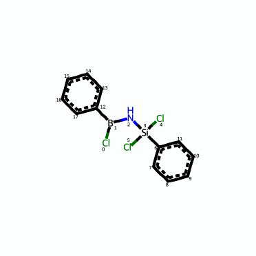 ClB(N[Si](Cl)(Cl)c1ccccc1)c1ccccc1